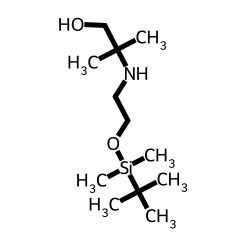 CC(C)(CO)NCCO[Si](C)(C)C(C)(C)C